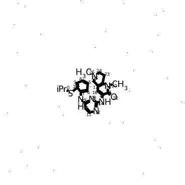 CC(C)Sc1ccccc1Nc1ccnc(Nc2cc3c(n(C)c2=O)CCN(C)C3)n1